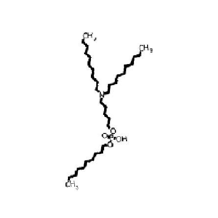 CCCCCCCCCCOP(=O)(O)OCCCCCN(CCCCCCCCCC)CCCCCCCCCC